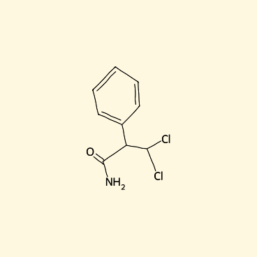 NC(=O)C(c1ccccc1)C(Cl)Cl